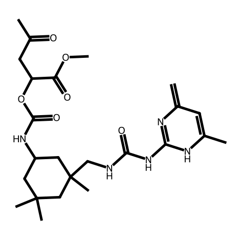 C=C1C=C(C)NC(NC(=O)NCC2(C)CC(NC(=O)OC(CC(C)=O)C(=O)OC)CC(C)(C)C2)=N1